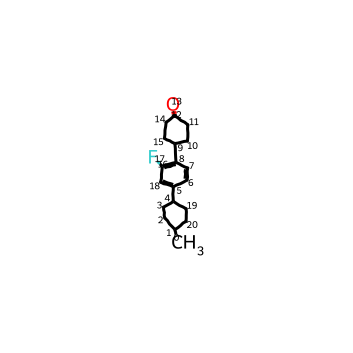 CC1CCC(c2ccc(C3CCC(=O)CC3)c(F)c2)CC1